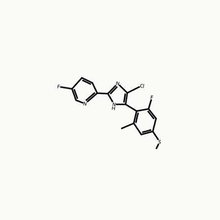 CSc1cc(C)c(-c2[nH]c(-c3ccc(F)cn3)nc2Cl)c(F)c1